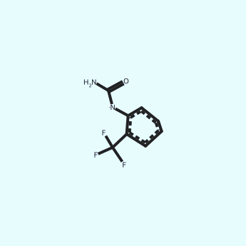 NC(=O)[N]c1ccccc1C(F)(F)F